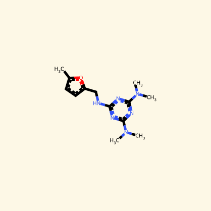 Cc1ccc(CNc2nc(N(C)C)nc(N(C)C)n2)o1